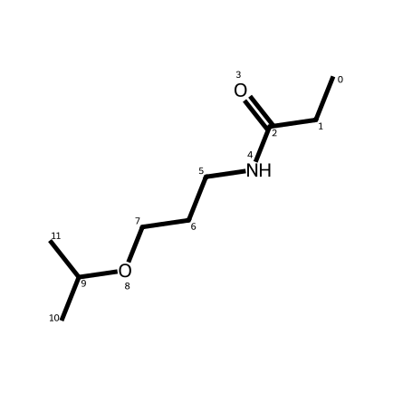 CCC(=O)NCCCOC(C)C